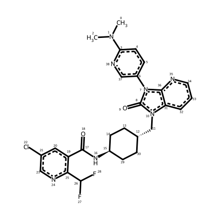 CN(C)c1ccc(-n2c(=O)n(C[C@H]3CC[C@H](NC(=O)c4cc(Cl)cnc4C(F)F)CC3)c3cccnc32)cn1